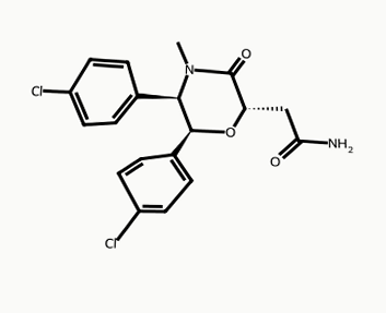 CN1C(=O)[C@H](CC(N)=O)O[C@@H](c2ccc(Cl)cc2)[C@H]1c1ccc(Cl)cc1